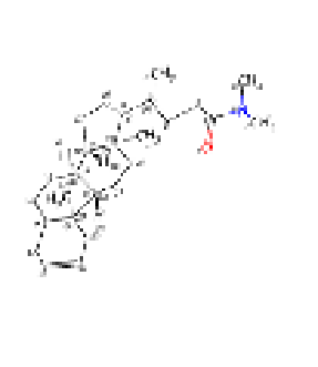 C[C@H](CCC(=O)N(C)C)[C@H]1CC[C@H]2[C@@H]3CCC4CC=CC[C@]4(C)[C@H]3CC[C@]12C